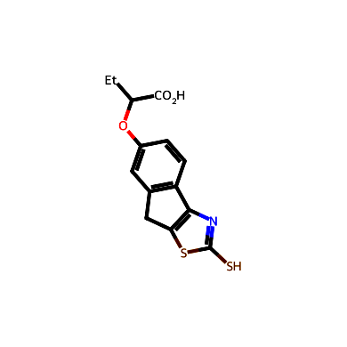 CCC(Oc1ccc2c(c1)Cc1sc(S)nc1-2)C(=O)O